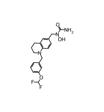 NC(=O)N(O)Cc1ccc2c(c1)CCCN2Cc1cccc(OC(F)F)c1